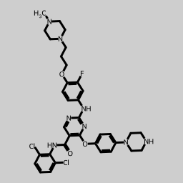 CN1CCN(CCCOc2ccc(Nc3ncc(C(=O)Nc4c(Cl)cccc4Cl)c(Oc4ccc(N5CCNCC5)cc4)n3)cc2F)CC1